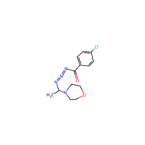 CC(N=[N+]=NC(=O)c1ccc(Cl)cc1)N1CCOCC1